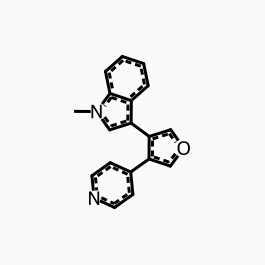 Cn1cc(-c2cocc2-c2ccncc2)c2ccccc21